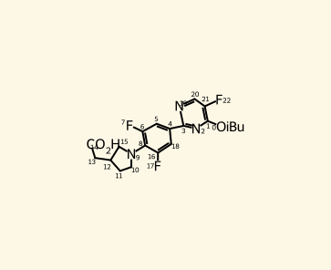 CC(C)COc1nc(-c2cc(F)c(N3CCC(CC(=O)O)C3)c(F)c2)ncc1F